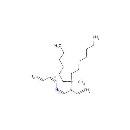 C=C/C=C\N=C/N(C=C)C(C)(CCCCCC)CCCCCCC